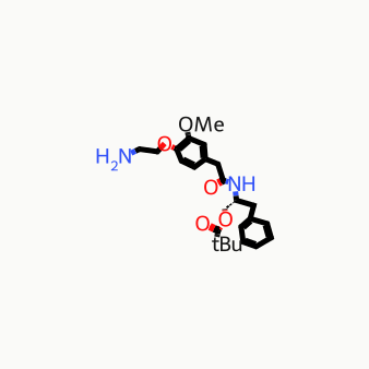 COc1cc(CC(=O)N[C@@H](COC(=O)C(C)(C)C)Cc2ccccc2)ccc1OCCN